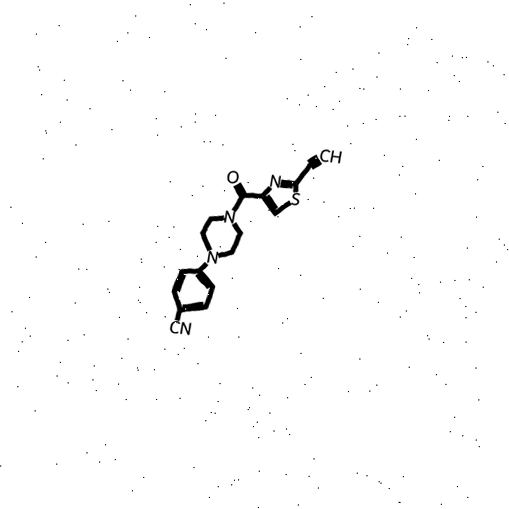 C#Cc1nc(C(=O)N2CCN(c3ccc(C#N)cc3)CC2)cs1